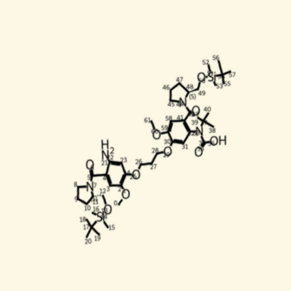 COc1cc(C(=O)N2CCC[C@H]2CO[Si](C)(C)C(C)(C)C)c(N)cc1OCCCOc1cc(N(C(=O)O)C(C)(C)C)c(C(=O)N2CCC[C@H]2CO[Si](C)(C)C(C)(C)C)cc1OC